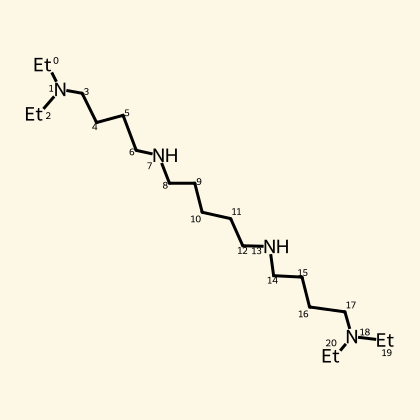 CCN(CC)CCCCNCCCCCNCCCCN(CC)CC